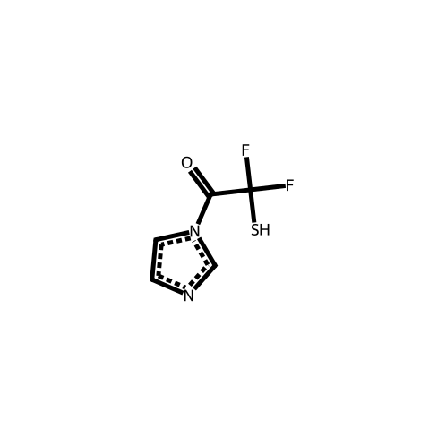 O=C(n1ccnc1)C(F)(F)S